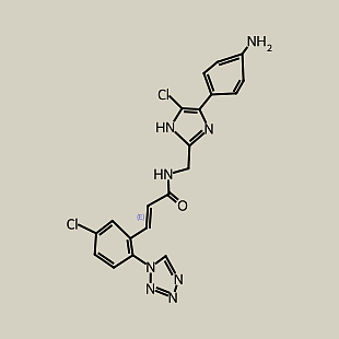 Nc1ccc(-c2nc(CNC(=O)/C=C/c3cc(Cl)ccc3-n3cnnn3)[nH]c2Cl)cc1